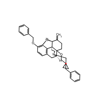 C=C1CCC2(OCCCc3ccccc3)[C@H]3Cc4ccc(OCc5ccccc5)c5c4[C@@]2(CCN3CC2CC2)[C@H]1O5